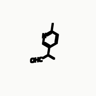 Cc1ccc(C(C)C=O)cn1